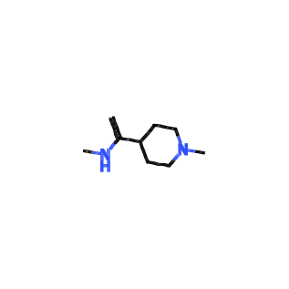 C=C(NC)C1CCN(C)CC1